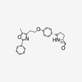 Cc1oc(-c2ccccc2)nc1CCOc1ccc([C@@H]2CC[C@@H](C=O)N2)cc1